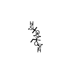 CC[C@@](C)(O[SiH](C)C)[Si](C)(C)OC(C)(C)[SiH](C)C